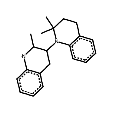 CC1[N]c2ccccc2CC1N1c2ccccc2CCC1(C)C